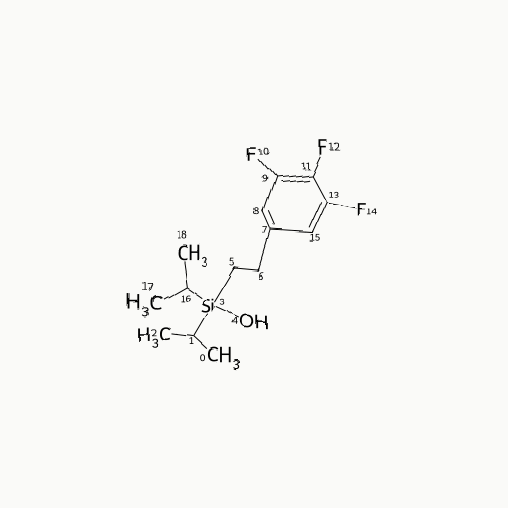 CC(C)[Si](O)(CCc1cc(F)c(F)c(F)c1)C(C)C